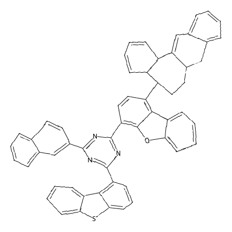 C1=CC2C3=Cc4ccccc4CC3CCC(c3ccc(-c4nc(-c5ccc6ccccc6c5)nc(-c5cccc6sc7ccccc7c56)n4)c4oc5ccccc5c34)C2C=C1